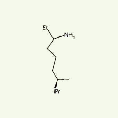 CCC(N)CCC[C@@H](C)C(C)C